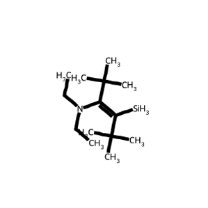 CCN(CC)C(=C([SiH3])C(C)(C)C)C(C)(C)C